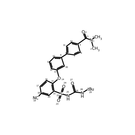 CN(C)C(=O)c1ccc(-c2cccc(Oc3ccc(C#N)cc3S(=O)(=O)NC(=O)NC(C)(C)C)c2)cc1